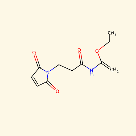 C=C(NC(=O)CCN1C(=O)C=CC1=O)OCC